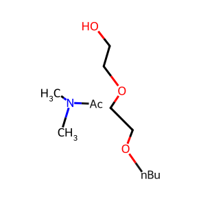 CC(=O)N(C)C.CCCCOCCOCCO